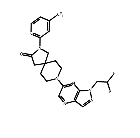 O=C1CC2(CCN(c3cnc4cnn(CC(F)F)c4n3)CC2)CN1c1cc(C(F)(F)F)ccn1